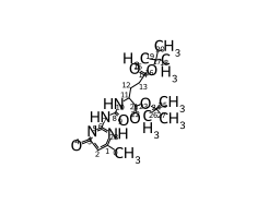 Cc1cc(=O)nc(NC(=O)NC(CCC(=O)OC(C)(C)C)C(=O)OC(C)(C)C)[nH]1